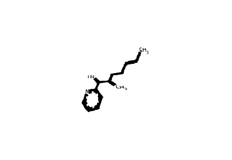 C=C(CCCCC)C(=N)c1ccccn1